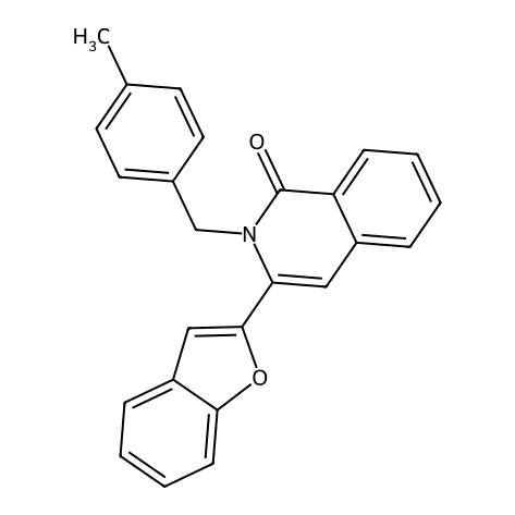 Cc1ccc(Cn2c(-c3cc4ccccc4o3)cc3ccccc3c2=O)cc1